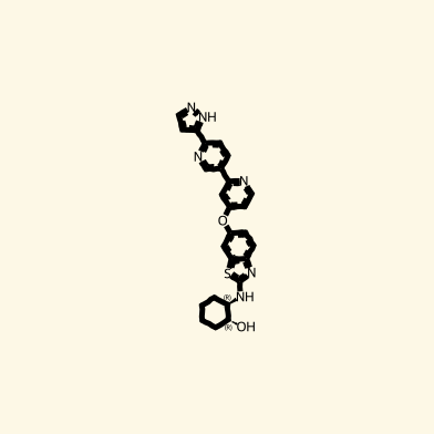 O[C@@H]1CCCC[C@H]1Nc1nc2ccc(Oc3ccnc(-c4ccc(-c5ccn[nH]5)nc4)c3)cc2s1